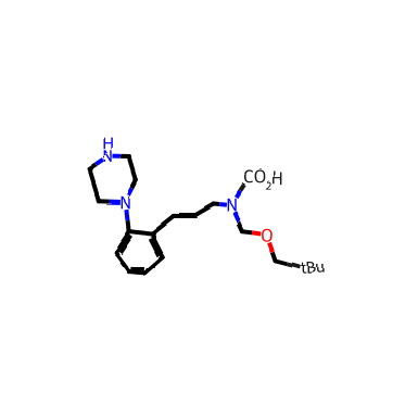 CC(C)(C)COCN(CCCc1ccccc1N1CCNCC1)C(=O)O